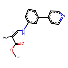 CC(=O)/C(=C/Nc1cccc(-c2ccncc2)c1)C(=O)OC(C)C